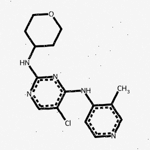 Cc1cnccc1Nc1nc(NC2CCOCC2)ncc1Cl